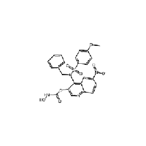 COc1ccc(S(=O)(=O)N(Cc2ccccc2)c2c(OC(=O)NO)cnc3ccc([N+](=O)[O-])cc23)cc1